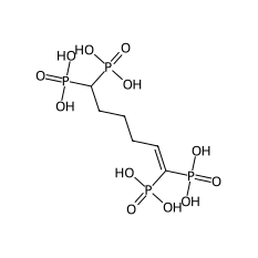 O=P(O)(O)C(=CCCCC(P(=O)(O)O)P(=O)(O)O)P(=O)(O)O